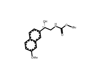 COc1ccc2ccc([C@H](O)CNC(=O)OC(C)(C)C)cc2c1